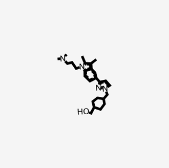 Cc1c(C)n(CCCN(C)C)c2ccc(-c3ccn(CC4CCC(CO)CC4)n3)cc12